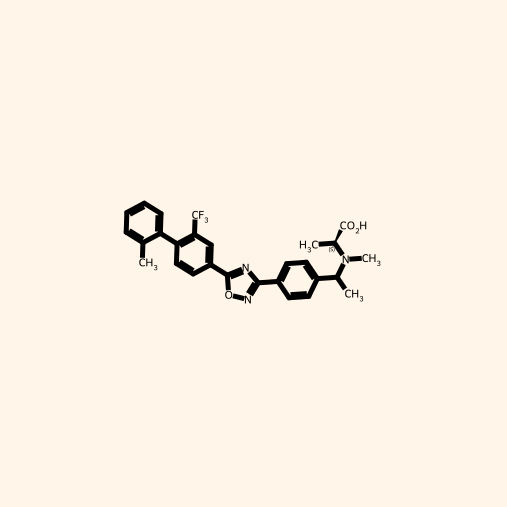 Cc1ccccc1-c1ccc(-c2nc(-c3ccc(C(C)N(C)[C@@H](C)C(=O)O)cc3)no2)cc1C(F)(F)F